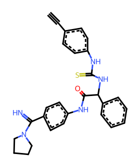 C#Cc1ccc(NC(=S)NC(C(=O)Nc2ccc(C(=N)N3CCCC3)cc2)c2ccccc2)cc1